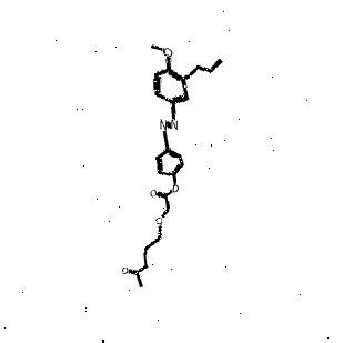 C=CCc1cc(N=Nc2ccc(OC(=O)COCCCC(C)=O)cc2)ccc1OC